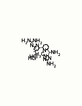 Cl.Cl.Cn1nc(N)nc1C(N)c1cccc(-c2csc(N=C(N)N)n2)n1